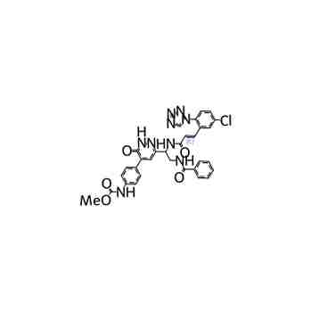 COC(=O)Nc1ccc(-c2cc(C(CNC(=O)c3ccccc3)NC(=O)/C=C/c3cc(Cl)ccc3-n3cnnn3)n[nH]c2=O)cc1